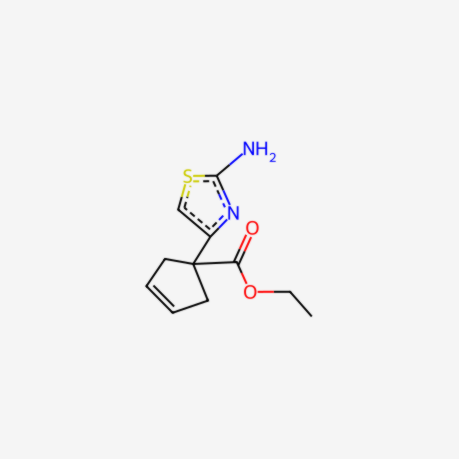 CCOC(=O)C1(c2csc(N)n2)CC=CC1